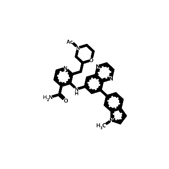 CC(=O)N1CCOC(Cc2nccc(C(N)=O)c2Nc2cc(-c3ccc4ccn(C)c4c3)c3nccnc3c2)C1